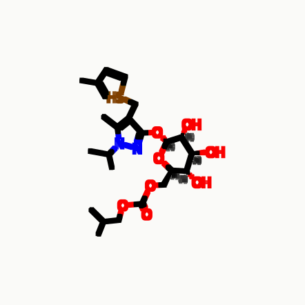 CC1=C[SH](Cc2c(O[C@@H]3O[C@H](COC(=O)OCC(C)C)[C@@H](O)[C@H](O)[C@H]3O)nn(C(C)C)c2C)C=C1